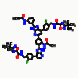 C#CC(=O)Nc1cccc(-c2nc3c(-c4ccc(CNC(=O)c5nc(C(C)(C)C)no5)c(F)c4)cc(-c4ccc(-c5nc6c(-c7ccc(CNC(=O)c8nc(C(C)(C)C)no8)c(F)c7)ccnc6[nH]5)c(NC(=O)C#C)c4)nc3[nH]2)c1